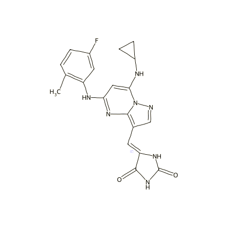 Cc1ccc(F)cc1Nc1cc(NC2CC2)n2ncc(/C=C3\NC(=O)NC3=O)c2n1